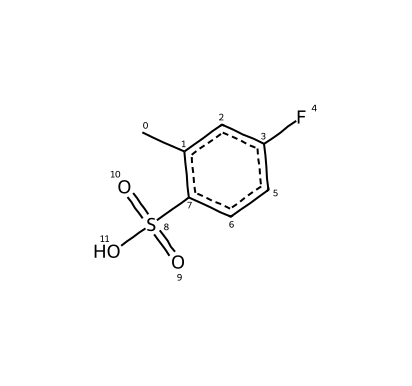 Cc1cc(F)ccc1S(=O)(=O)O